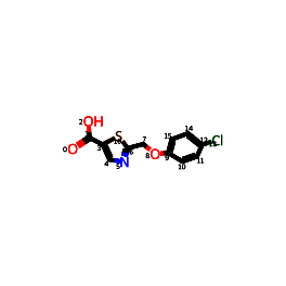 O=C(O)c1cnc(COc2ccc(Cl)cc2)s1